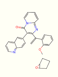 C1CC2OC2C1.C=C(c1ccccc1OC)c1nc2ccccn2c(=O)c1-c1ccc2ncccc2c1